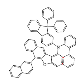 c1ccc(-c2ccccc2N(c2ccc3c(c2)C(c2ccccc2)(c2ccccc2)c2ccccc2-3)c2cccc3oc4c(-c5ccc6ccccc6c5)c5ccccc5cc4c23)cc1